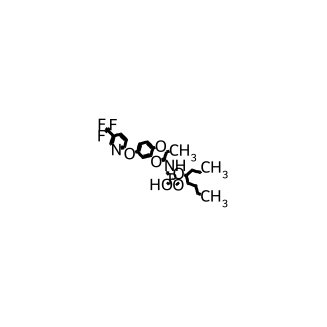 CCCCC(CCC)OP(=O)(O)CNC(=O)C(C)Oc1ccc(Oc2ccc(C(F)(F)F)cn2)cc1